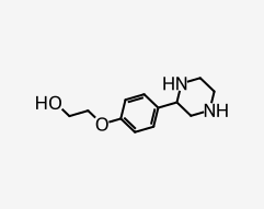 OCCOc1ccc(C2CNCCN2)cc1